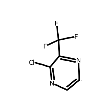 FC(F)(F)c1n[c]cnc1Cl